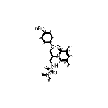 CCC[C@H]1CC[C@@H](OCC(CNS(=O)(=O)N(C)C)n2cc(C)cc(C)c2=O)CC1